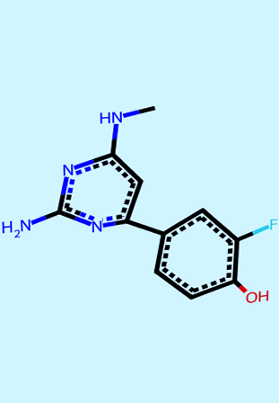 CNc1cc(-c2ccc(O)c(F)c2)nc(N)n1